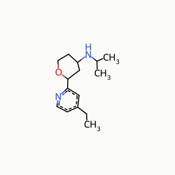 CCc1ccnc(C2CC(NC(C)C)CCO2)c1